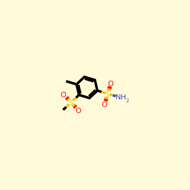 Cc1ccc(S(N)(=O)=O)cc1S(C)(=O)=O